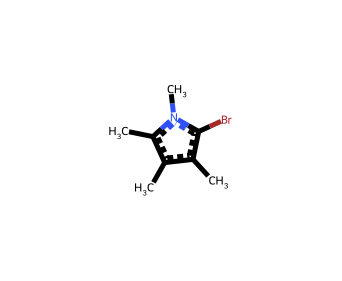 Cc1c(C)c(Br)n(C)c1C